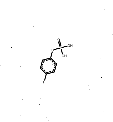 O=P(O)(O)Oc1ccc(F)cc1